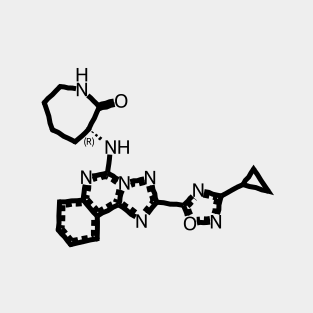 O=C1NCCCC[C@H]1Nc1nc2ccccc2c2nc(-c3nc(C4CC4)no3)nn12